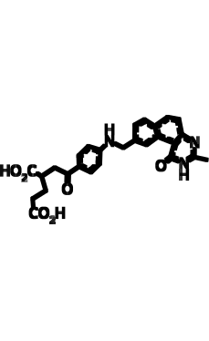 Cc1nc2ccc3ccc(CNc4ccc(C(=O)CC(CCC(=O)O)C(=O)O)cc4)cc3c2c(=O)[nH]1